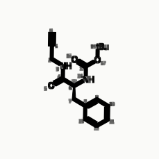 C#CCNC(=O)[C@H](Cc1ccccc1)NC(=O)OC(C)(C)C